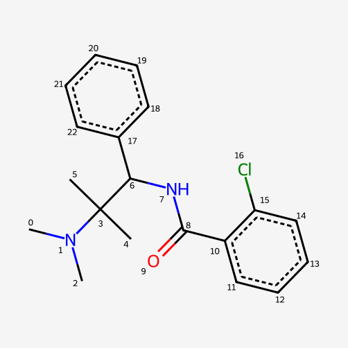 CN(C)C(C)(C)C(NC(=O)c1ccccc1Cl)c1ccccc1